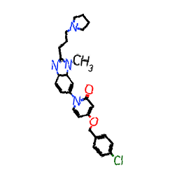 CN1C(CCCN2CCCC2)=NC2C=CC(n3ccc(OCc4ccc(Cl)cc4)cc3=O)=CC21